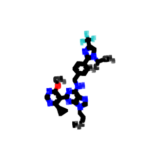 C=CCn1cnc2c(NCc3ccc(-c4nc(C(F)(F)F)cn4C(C)C)cc3)nc(-c3c(OC)ncnc3C3CC3)nc21